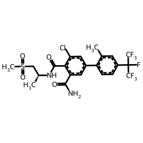 Cc1cc(C(F)(C(F)(F)F)C(F)(F)F)ccc1-c1cc(Cl)c(C(=O)N[C@@H](C)CS(C)(=O)=O)c(C(N)=O)c1